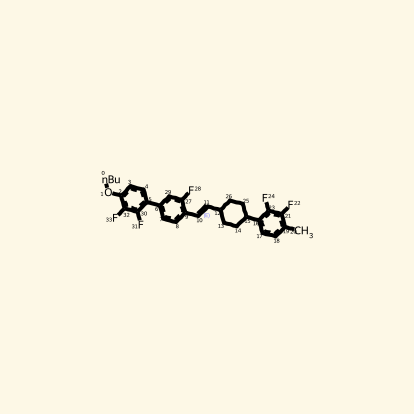 CCCCOc1ccc(-c2ccc(/C=C/C3CCC(c4ccc(C)c(F)c4F)CC3)c(F)c2)c(F)c1F